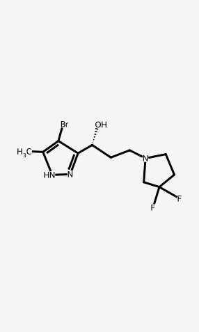 Cc1[nH]nc([C@H](O)CCN2CCC(F)(F)C2)c1Br